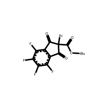 CC(=O)C1(C(=O)OC(C)(C)C)C(=O)c2c(F)c(F)c(F)c(F)c2C1=O